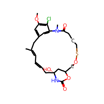 COc1cc2cc(c1Cl)N(C)C(=O)CCCSOCC1C[C@](O)(C/C=C/C=C(\C)C2)NC(=O)O1